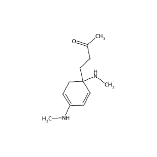 CNC1=CCC(CCC(C)=O)(NC)C=C1